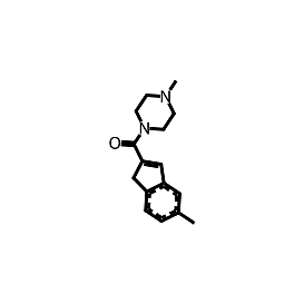 Cc1ccc2c(c1)C=C(C(=O)N1CCN(C)CC1)C2